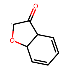 O=C1[C]OC2C=CC=CC12